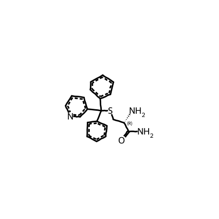 NC(=O)[C@@H](N)CSC(c1ccccc1)(c1ccccc1)c1cccnc1